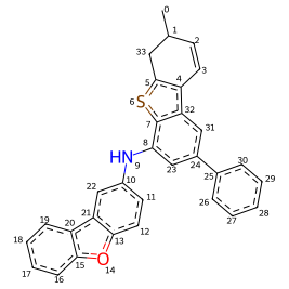 CC1C=Cc2c(sc3c(Nc4ccc5oc6ccccc6c5c4)cc(-c4ccccc4)cc23)C1